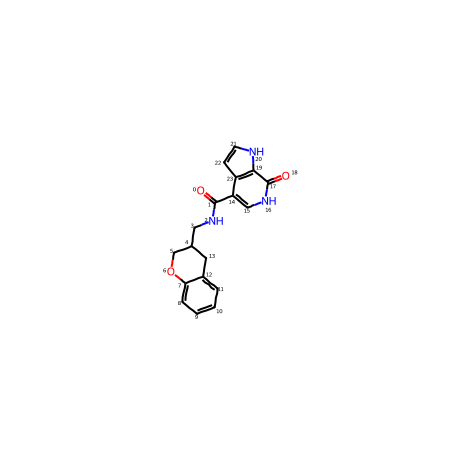 O=C(NCC1COc2ccccc2C1)c1c[nH]c(=O)c2[nH]ccc12